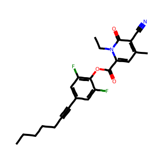 CCCCCC#Cc1cc(F)c(OC(=O)c2cc(C)c(C#N)c(=O)n2CC)c(F)c1